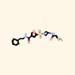 C=CC(=O)NC1CN(S(=O)(=O)c2cc(C(=O)NCCc3ccccc3)co2)C1